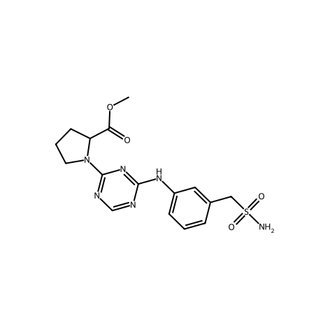 COC(=O)C1CCCN1c1ncnc(Nc2cccc(CS(N)(=O)=O)c2)n1